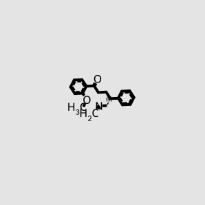 C=NC[C@H](CCC(=O)c1ccccc1OC)c1ccccc1